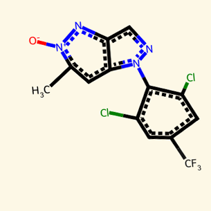 Cc1cc2c(cnn2-c2c(Cl)cc(C(F)(F)F)cc2Cl)n[n+]1[O-]